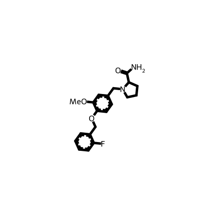 COc1cc(CN2CCCC2C(N)=O)ccc1OCc1ccccc1F